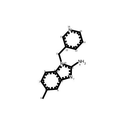 Cc1ccc2c(c1)nc(N)n2Cc1cccnc1